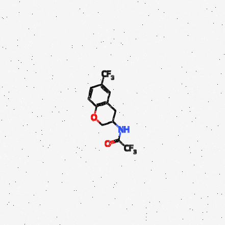 O=C(NC1COc2ccc(C(F)(F)F)cc2C1)C(F)(F)F